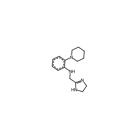 c1ccc(N2CCCCC2)c(NCC2=NCCN2)c1